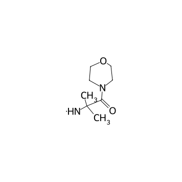 CC(C)([NH])C(=O)N1CCOCC1